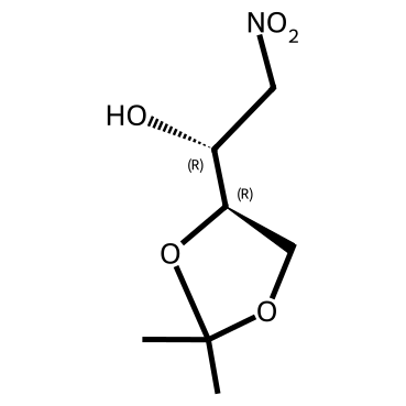 CC1(C)OC[C@H]([C@H](O)C[N+](=O)[O-])O1